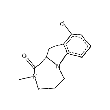 CN1CCCN2c3cccc(Cl)c3CC2C1=O